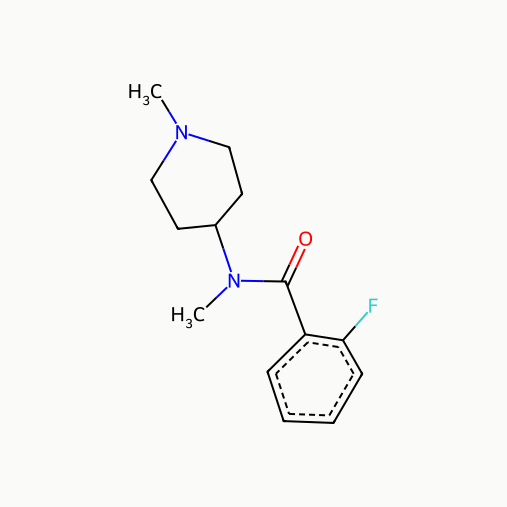 CN1CCC(N(C)C(=O)c2ccccc2F)CC1